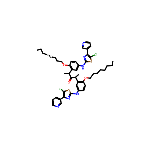 CCCCCCCCOc1ccc(Nc2nc(-c3cccnc3)c(Cl)s2)cc1C(C)C(=O)C(C)c1cc(Nc2nc(-c3cccnc3)c(Cl)s2)ccc1OCCCCCCCC